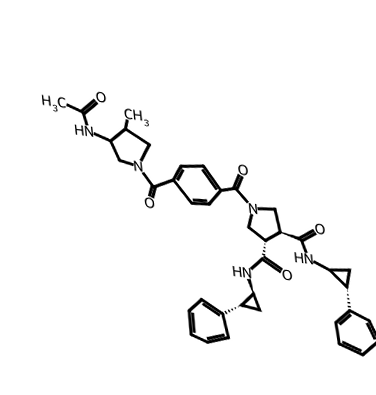 CC(=O)NC1CN(C(=O)c2ccc(C(=O)N3C[C@@H](C(=O)NC4C[C@@H]4c4ccccc4)[C@H](C(=O)N[C@H]4C[C@@H]4c4ccccc4)C3)cc2)CC1C